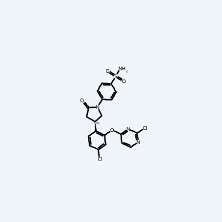 NS(=O)(=O)c1ccc(N2C[C@@H](c3ccc(Cl)cc3Oc3ccnc(Cl)n3)CC2=O)cc1